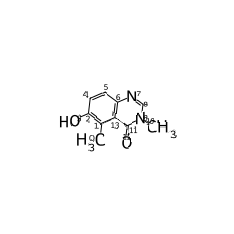 Cc1c(O)ccc2ncn(C)c(=O)c12